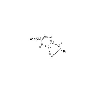 CSc1ccc(OC(F)F)c(C)c1